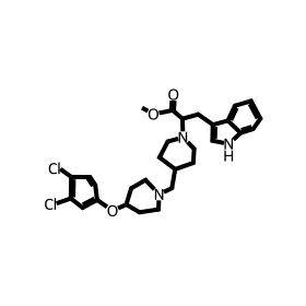 COC(=O)C(Cc1c[nH]c2ccccc12)N1CCC(CN2CCC(Oc3ccc(Cl)c(Cl)c3)CC2)CC1